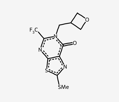 CSc1nc2c(=O)n(CC3COC3)c(C(F)(F)F)nc2s1